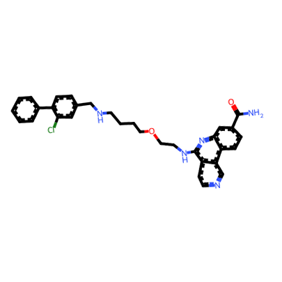 NC(=O)c1ccc2c(c1)nc(NCCOCCCCNCc1ccc(-c3ccccc3)c(Cl)c1)c1ccncc12